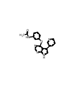 CC(=O)Nc1cccc(Oc2ncnc3[nH]cc(-c4cccnc4)c23)c1